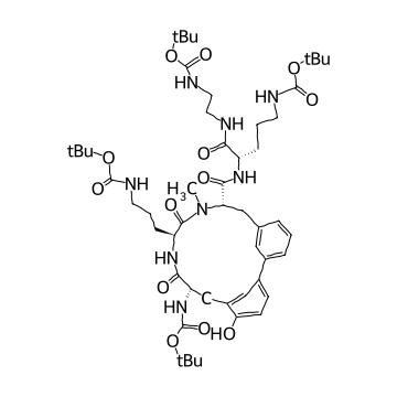 CN1C(=O)[C@H](CCCNC(=O)OC(C)(C)C)NC(=O)[C@@H](NC(=O)OC(C)(C)C)Cc2cc(ccc2O)-c2cccc(c2)C[C@H]1C(=O)N[C@@H](CCCNC(=O)OC(C)(C)C)C(=O)NCCNC(=O)OC(C)(C)C